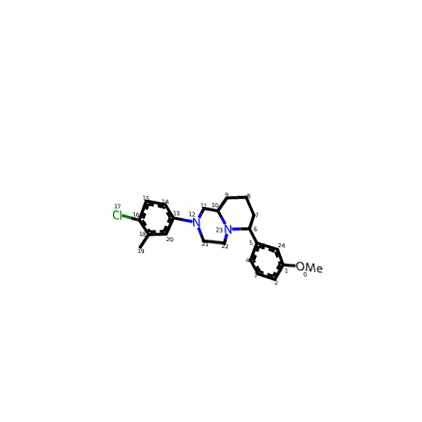 COc1cccc(C2CCCC3CN(c4ccc(Cl)c(C)c4)CCN32)c1